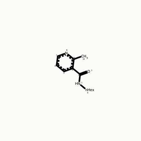 CCCCCCNC(=O)c1cccnc1C